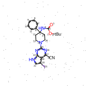 CC(C)(C)OC(=O)NC1(c2ccccc2)CCN(c2nc(C#N)c3c(I)c[nH]c3n2)CC1